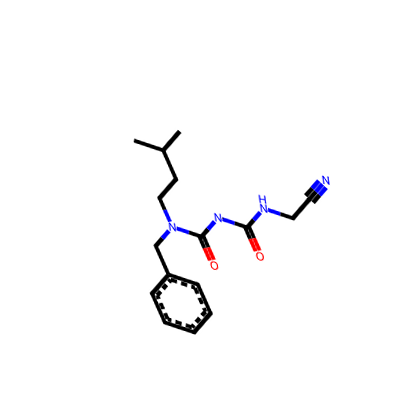 CC(C)CCN(Cc1ccccc1)C(=O)[N]C(=O)NCC#N